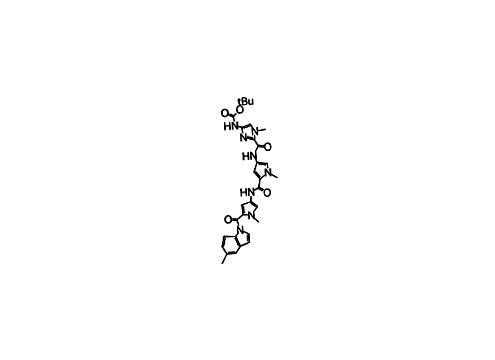 Cc1ccc2c(ccn2C(=O)c2cc(NC(=O)c3cc(NC(=O)c4nc(NC(=O)OC(C)(C)C)cn4C)cn3C)cn2C)c1